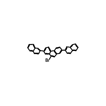 Brc1cc2cc(-c3ccc4ccccc4c3)ccc2c2ccc(-c3ccc4ccccc4c3)cc12